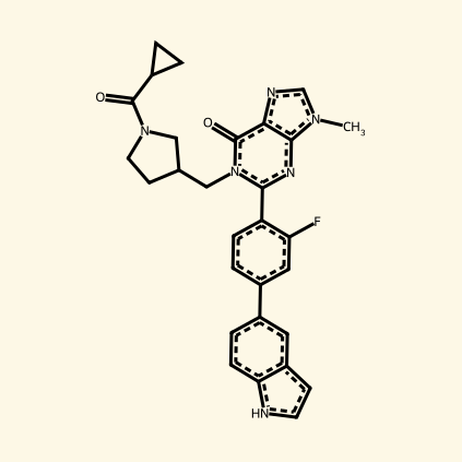 Cn1cnc2c(=O)n(CC3CCN(C(=O)C4CC4)C3)c(-c3ccc(-c4ccc5[nH]ccc5c4)cc3F)nc21